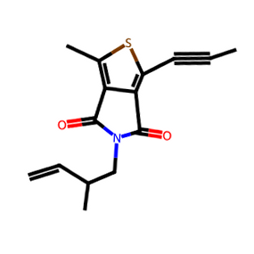 C=CC(C)CN1C(=O)c2c(C)sc(C#CC)c2C1=O